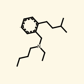 CCCCN(CC)Cc1c[c]ccc1CCC(C)C